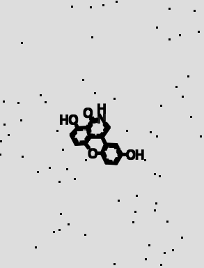 O=c1[nH]cc2c3c(ccc(O)c13)Oc1ccc(O)cc1-2